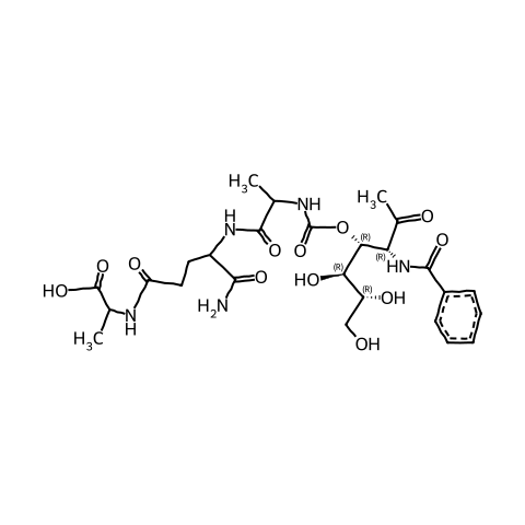 CC(=O)[C@H](NC(=O)c1ccccc1)[C@@H](OC(=O)NC(C)C(=O)NC(CCC(=O)NC(C)C(=O)O)C(N)=O)[C@H](O)[C@H](O)CO